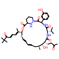 CC(=O)CC[C@H]1C(=O)N[C@@H](C(C)C)C(=O)NC(c2cccc(O)c2)C(=O)N2CCCC(N2)C(=O)O[C@H](/C(C)=C/C=C/C(=O)C(C)(C)C)C/C=C/C=C/C[C@H](C)[C@H]1O